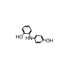 Oc1ccc(Nc2ccccc2O)cc1